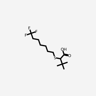 CC(C)(C)C(SCCCCCCC(F)(F)F)C(=O)O